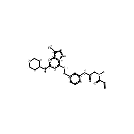 C=CC(=O)N(C)CC(=O)Nc1cccc(CNc2nc(NC3CCOCC3)nc3c(C(C)C)cnn23)c1